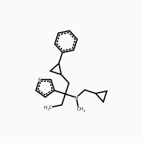 CCC(CC1CC1c1ccccc1)(c1ccsc1)N(C)CC1CC1